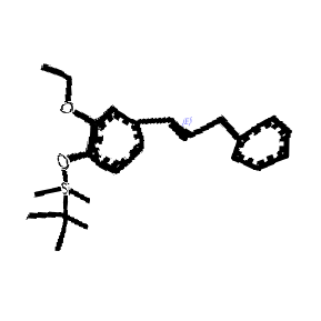 CCOc1cc(/C=C/Cc2ccccc2)ccc1O[Si](C)(C)C(C)(C)C